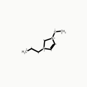 CCCN1C=CN(OC)C1